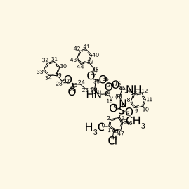 Cc1cc(S(=O)(=O)N2c3ccccc3NC(=O)[C@H]2CC(=O)N[C@H](CCC(=O)OCc2ccccc2)C(=O)OCc2ccccc2)c(C)cc1Cl